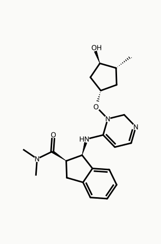 [CH2][C@@H]1C[C@H](ON2CN=CC=C2N[C@H]2c3ccccc3C[C@H]2C(=O)N(C)C)C[C@H]1O